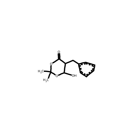 CC1(C)OC(=O)C(Cc2ccccc2)C(O)O1